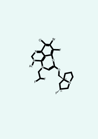 CC(=O)N1CN=c2c(Cl)c(Br)c(F)c3c2=C1N(CC(F)F)C=C(OC[C@@]12CCCN1C[C@H](F)C2)O3